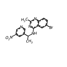 Cc1nc(NC(C)c2cncc([N+](=O)[O-])c2)c2cc(Br)ccc2n1